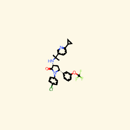 CC(C)(N[C@@H]1C[C@H](c2cccc(OC(F)(F)F)c2)N(c2ccc(Cl)cc2)C1=O)c1ccc(C2CC2)nc1